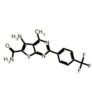 Cc1nc(-c2ccc(C(F)(F)F)cc2)nc2sc(C(N)=O)c(N)c12